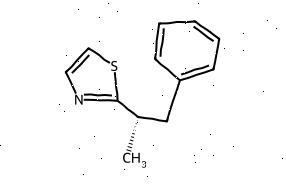 C[C@@H](Cc1ccccc1)c1nccs1